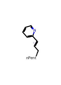 CCCCCC/C=C/c1ccccn1